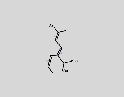 C\C=C/C(=C\C=C(/C)C(C)=O)C(CCCC)CCCC